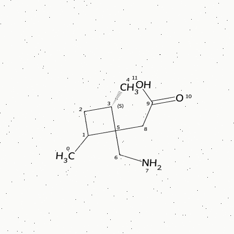 CC1C[C@H](C)C1(CN)CC(=O)O